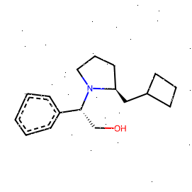 OC[C@H](c1ccccc1)N1CCC[C@H]1CC1CCC1